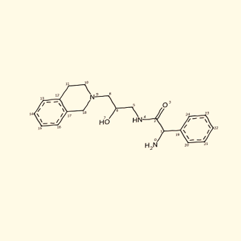 NC(C(=O)NCC(O)CN1CCc2ccccc2C1)c1ccccc1